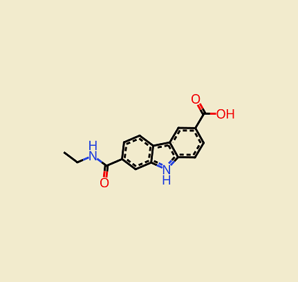 CCNC(=O)c1ccc2c(c1)[nH]c1ccc(C(=O)O)cc12